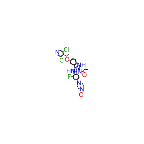 C=CC(=O)Nc1cc(N2CCN(C=O)CC2)cc(F)c1Nc1n[nH]c2ccc(O[C@H](C)c3c(Cl)cncc3Cl)cc12